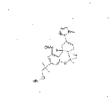 CCCCOCC(C)(C)c1cc(OC)c2c(c1)OC(C)(C)[C@@H]1CC=C(c3nccn3C)C[C@@H]21